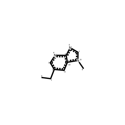 CCc1cnc2ncn(C)c2c1